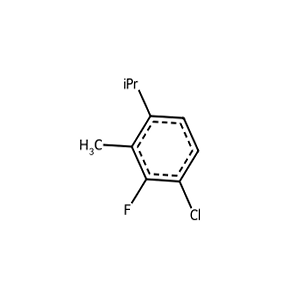 Cc1c(C(C)C)ccc(Cl)c1F